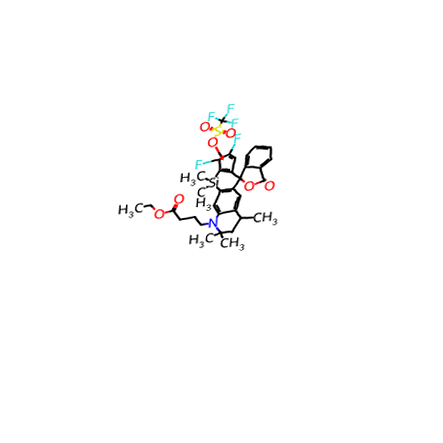 CCOC(=O)CCCN1c2cc3c(cc2C(C)CC1(C)C)C1(OC(=O)c2ccccc21)c1cc(F)c(OS(=O)(=O)C(F)(F)F)c(F)c1[Si]3(C)C